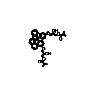 C=C(C)C(=O)OCC(O)COc1ccc(C2(c3ccc(OCC(O)COC(=O)C(=C)C)cc3)c3ccccc3-c3ccc4ccccc4c32)cc1